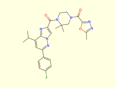 Cc1nnc(C(=O)N2CCN(C(=O)c3cn4nc(-c5ccc(F)cc5)cc(C(C)C)c4n3)C(C)(C)C2)o1